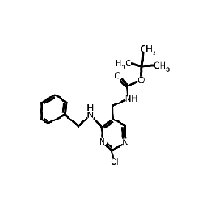 CC(C)(C)OC(=O)NCc1cnc(Cl)nc1NCc1ccccc1